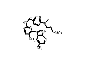 CNCCCN(C)c1ccc([C@@H](C)Nc2ncc(N)c(-c3c[nH]c4ncc(C(F)(F)F)cc34)n2)cn1